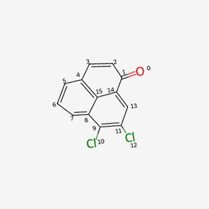 O=C1C=Cc2cccc3c(Cl)c(Cl)cc1c23